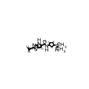 C[SiH](C)C1CCC(NC(=O)c2cc3sc(C4CC4)nc3[nH]2)C1